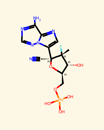 C[C@@]1(F)[C@H](O)[C@@H](CO[PH](O)(O)O)O[C@@]1(C#N)c1cnc2c(N)ncnn12